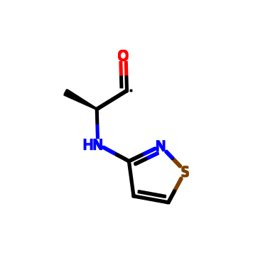 C[C@@H]([C]=O)Nc1ccsn1